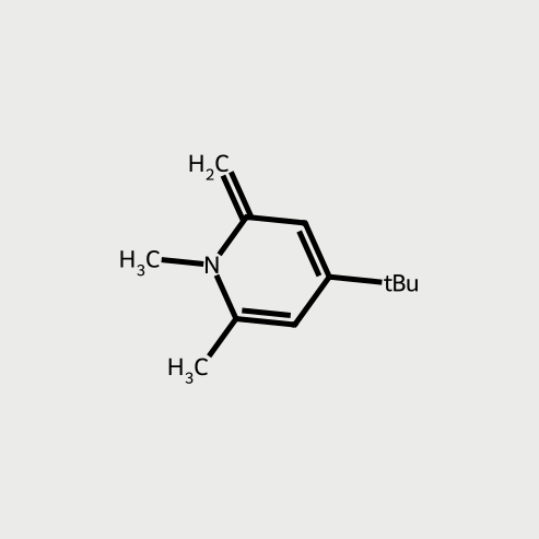 C=C1C=C(C(C)(C)C)C=C(C)N1C